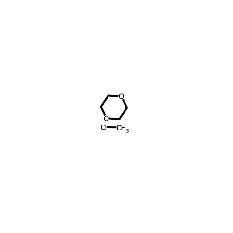 C1COCCO1.CCl